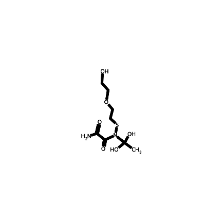 CC(O)(O)N(SCCOCCO)C(=O)C(N)=O